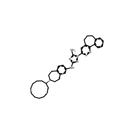 Nc1nc(Nc2ccc3c(c2)CC[C@@H](C2CCCCCCCCCC2)CC3)nn1-c1cc2c(nn1)-c1ccccc1CCC2